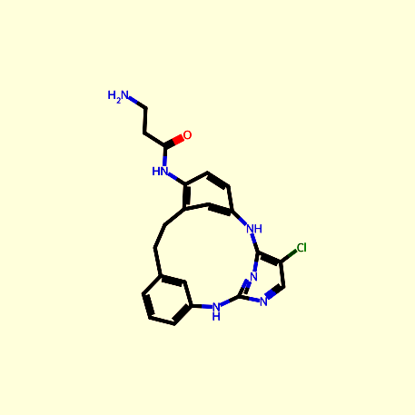 NCCC(=O)Nc1ccc2cc1CCc1cccc(c1)Nc1ncc(Cl)c(n1)N2